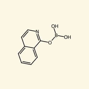 OB(O)Oc1nccc2ccccc12